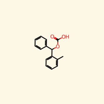 Cc1ccccc1C(OC(=O)O)c1ccccc1